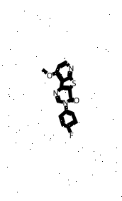 COc1ccnc2sc3c(=O)n(-c4ccc(F)cc4)cnc3c12